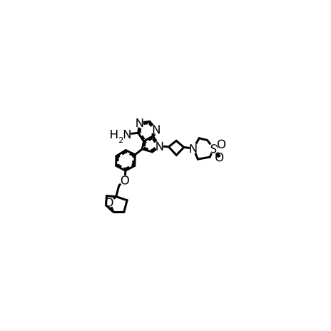 Nc1ncnc2c1c(-c1cccc(OCC34CCC(CC3)O4)c1)cn2C1CC(N2CCS(=O)(=O)CC2)C1